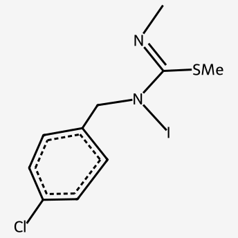 CN=C(SC)N(I)Cc1ccc(Cl)cc1